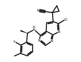 Cc1cccc([C@@H](C)Nc2ncnc3nc(Cl)c(C4(C#N)CC4)cc23)c1F